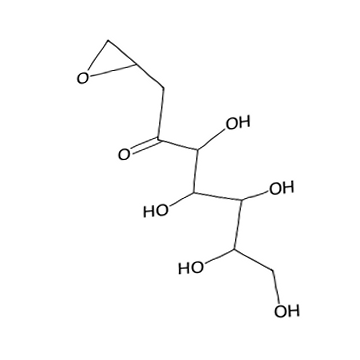 O=C(CC1CO1)C(O)C(O)C(O)C(O)CO